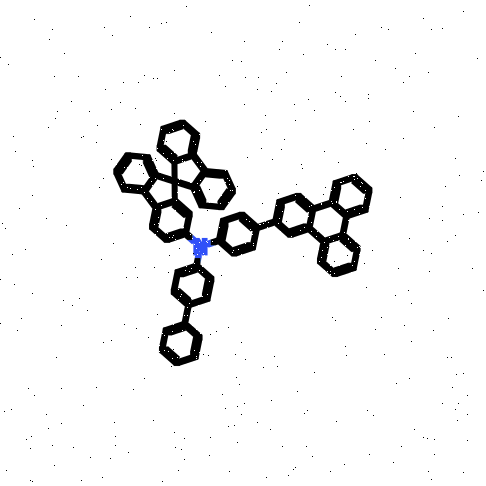 c1ccc(-c2ccc(N(c3ccc(-c4ccc5c6ccccc6c6ccccc6c5c4)cc3)c3ccc4c(c3)C3(c5ccccc5-c5ccccc53)c3ccccc3-4)cc2)cc1